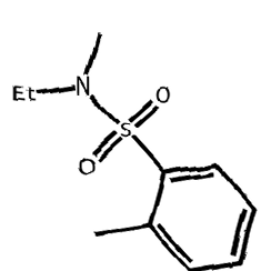 CCN(C)S(=O)(=O)c1ccccc1C